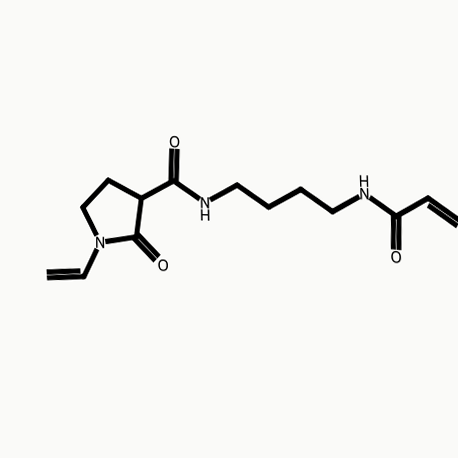 C=CC(=O)NCCCCNC(=O)C1CCN(C=C)C1=O